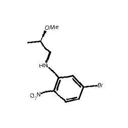 CO[C@H](C)CNc1cc(Br)ccc1[N+](=O)[O-]